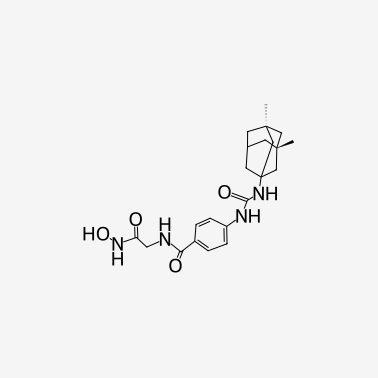 C[C@]12CC3CC(NC(=O)Nc4ccc(C(=O)NCC(=O)NO)cc4)(C1)C[C@@](C)(C3)C2